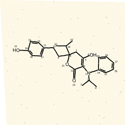 CC(C)N(C1=C(O)CC(CCc2ccc(O)cc2)(C(C)C)OC1=O)c1ccccc1